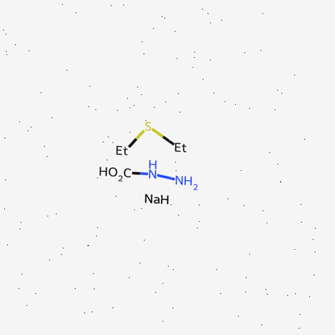 CCSCC.NNC(=O)O.[NaH]